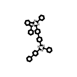 c1ccc(-c2ccc(-c3nc(-c4ccccc4)nc(-c4ccc(-c5ccc(-c6nc(-c7ccccc7)nc7c8ccccc8c(-c8ccccc8)n67)cc5)cc4)n3)cc2)cc1